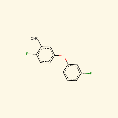 O=Cc1cc(Oc2cccc(F)c2)ccc1F